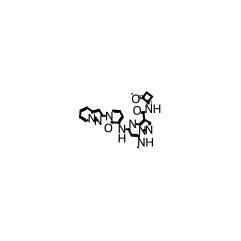 CNc1cc(Nc2cccn(-c3cc4ccccn4n3)c2=O)nc2c(C(=O)N[C@@H]3CC[C@H]3OC)cnn12